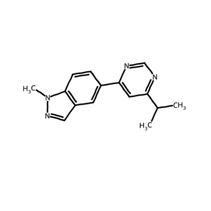 CC(C)c1cc(-c2ccc3c(cnn3C)c2)ncn1